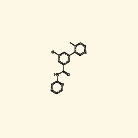 Cc1ccncc1-c1cc(Cl)cc(C(=O)Nc2ccccn2)c1